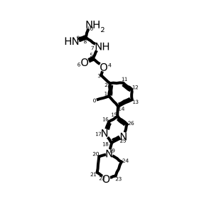 Cc1c(COC(=O)NC(=N)N)cccc1-c1cnc(N2CCOCC2)nc1